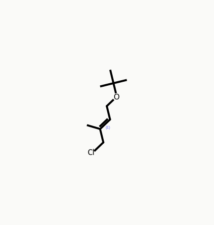 C/C(=C\COC(C)(C)C)CCl